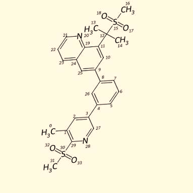 Cc1cc(-c2cccc(-c3cc(C(C)(C)S(C)(=O)=O)c4ncccc4c3)c2)cnc1S(C)(=O)=O